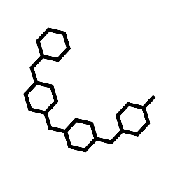 CC1CCC(CC2CCC(CC3CCC(CC4CCCCC4)CC3)CC2)CC1